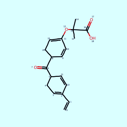 C=CC1=CCC(C(=O)C2C=CC(OC(C)(C)C(=O)O)=CC2)C=C1